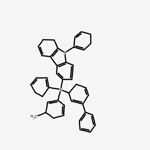 CC1C=C([Si](C2=CC=CCC2)(c2ccc3c(c2)c2c(n3C3=CCCC=C3)CCC=C2)C2C=C(c3ccccc3)C=CC2)C=CC1